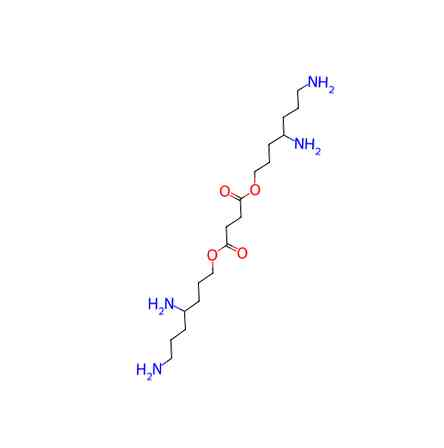 NCCCC(N)CCCOC(=O)CCC(=O)OCCCC(N)CCCN